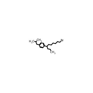 CCCC(CCCCCCBr)c1ccc(CC(C)C)cc1